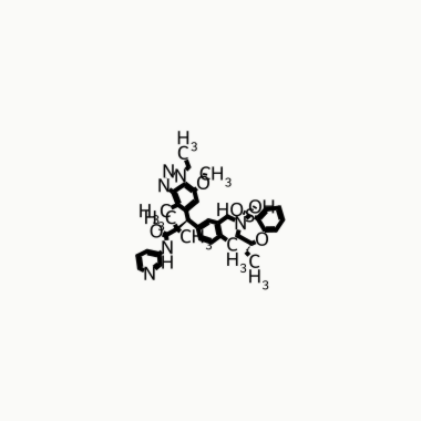 CC[C@@H]1CN(Cc2cc([C@H](c3cc(OC)c4c(nnn4CC)c3C)C(C)(C)C(=O)Nc3cccnc3)ccc2C)S(O)(O)c2ccccc2O1